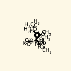 CCOP(=O)(OCC)C(F)(F)c1sc2c(OC)cc(C(=O)OC(C)(C)C)cc2c1Br.O=C([O-])[O-].[K+].[K+]